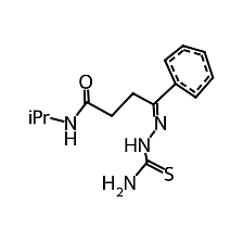 CC(C)NC(=O)CCC(=NNC(N)=S)c1ccccc1